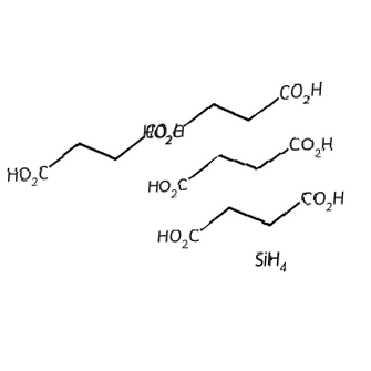 O=C(O)CCC(=O)O.O=C(O)CCC(=O)O.O=C(O)CCC(=O)O.O=C(O)CCC(=O)O.[SiH4]